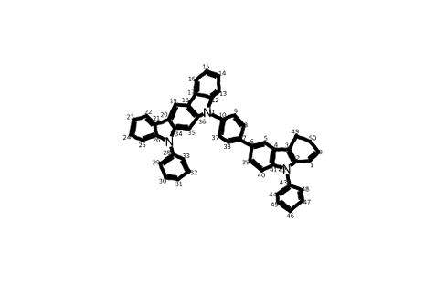 C1=Cc2c(c3cc(-c4ccc(-n5c6ccccc6c6cc7c8ccccc8n(-c8ccccc8)c7cc65)cc4)ccc3n2-c2ccccc2)CC1